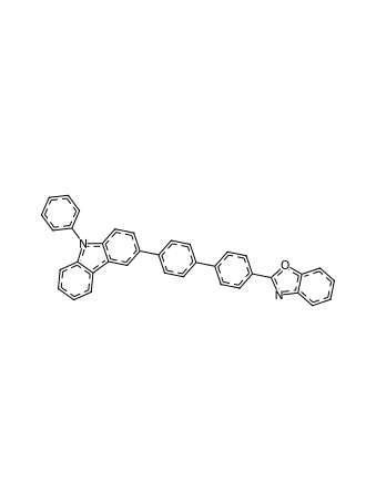 c1ccc(-n2c3ccccc3c3cc(-c4ccc(-c5ccc(-c6nc7ccccc7o6)cc5)cc4)ccc32)cc1